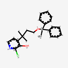 CC(C)(CCO[Si](c1ccccc1)(c1ccccc1)C(C)(C)C)c1ccnc(Cl)c1O